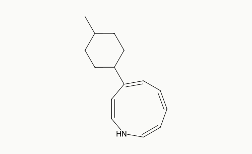 CC1CCC(c2ccccc[nH]cc2)CC1